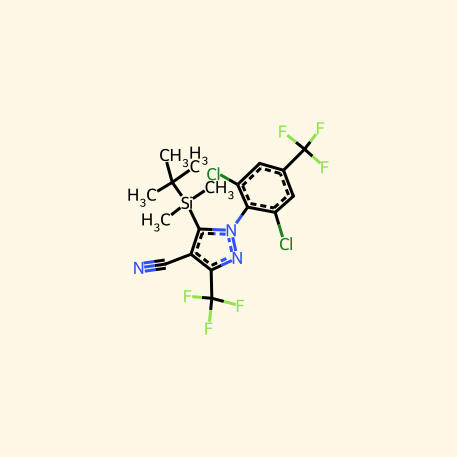 CC(C)(C)[Si](C)(C)c1c(C#N)c(C(F)(F)F)nn1-c1c(Cl)cc(C(F)(F)F)cc1Cl